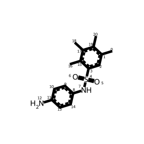 Cc1cc(S(=O)(=O)Nc2ccc(N)cc2)c(C)c(C)c1C